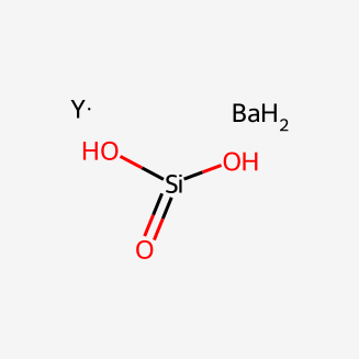 O=[Si](O)O.[BaH2].[Y]